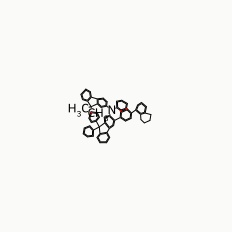 CC1(C)c2ccccc2-c2ccc(N(c3ccccc3)c3cc4c(cc3-c3ccc(-c5cccc6c5CCCC6)cc3)-c3ccccc3C4(c3ccccc3)c3ccccc3)cc21